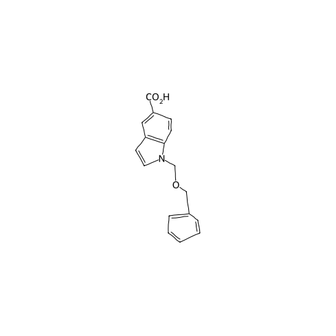 O=C(O)c1ccc2c(ccn2COCc2ccccc2)c1